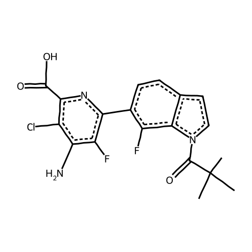 CC(C)(C)C(=O)n1ccc2ccc(-c3nc(C(=O)O)c(Cl)c(N)c3F)c(F)c21